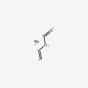 C=COC=O.[Na]